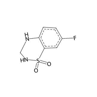 O=S1(=O)NCNc2ccc(F)cc21